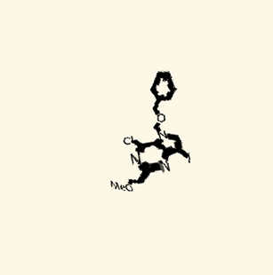 COCCc1nc(Cl)c2c(n1)c(I)cn2COCc1ccccc1